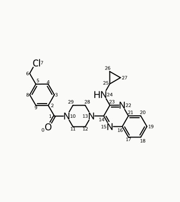 O=C(c1ccc(CCl)cc1)N1CCN(c2nc3ccccc3nc2NC2CC2)CC1